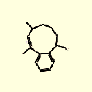 CC(=O)C1CCCC(C)/C=C(/C)c2ccccc21